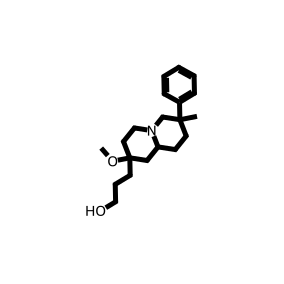 COC1(CCCO)CCN2CC(C)(c3ccccc3)CCC2C1